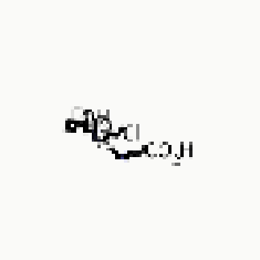 CCC1([C@@H](O)C/C=C/[C@@H](CC/C=C\CCCC(=O)O)[C@H](O)CCCl)CCC1